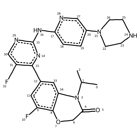 CC(C)N1C(=O)COc2c(F)cc(-c3nc(Nc4ccc(N5CCNCC5)cn4)ncc3F)cc21